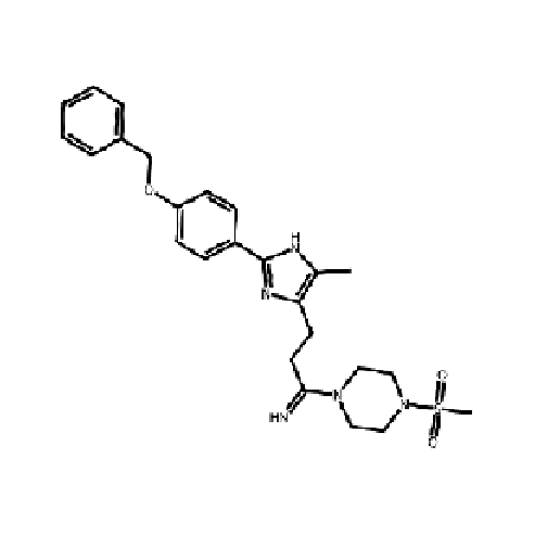 Cc1[nH]c(-c2ccc(OCc3ccccc3)cc2)nc1CCC(=N)N1CCN(S(C)(=O)=O)CC1